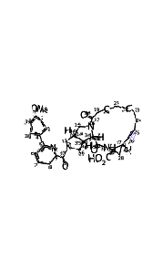 COc1ccc(-c2cccc(C(=O)N3C[C@H]4CN5C(=O)CCCCCC/C=C\[C@@H]6C[C@@]6(C(=O)O)NC(=O)[C@@H]5[C@H]4C3)n2)cc1